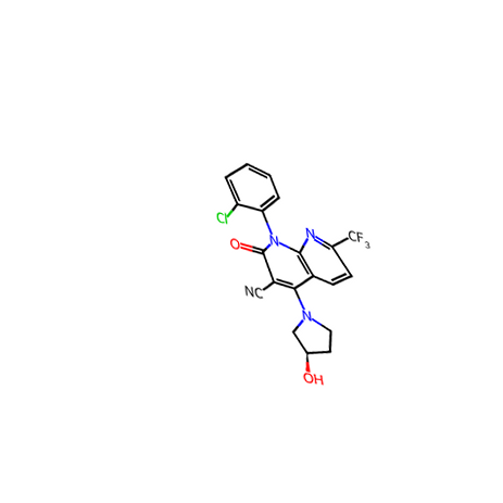 N#Cc1c(N2CC[C@@H](O)C2)c2ccc(C(F)(F)F)nc2n(-c2ccccc2Cl)c1=O